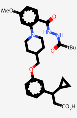 COc1ccc(C(=O)NNC(=O)C(C)(C)C)c(N2CCC(COc3cccc(C(CC(=O)O)C4CC4)c3)CC2)c1